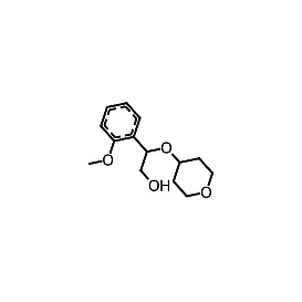 COc1ccccc1C(CO)OC1CCOCC1